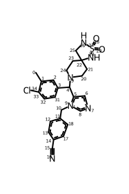 Cc1cc(C(c2cncn2Cc2ccc(C#N)cc2)N2CCC3(CC2)CNS(=O)(=O)N3)ccc1Cl